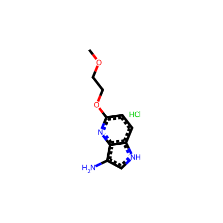 COCCOc1ccc2[nH]cc(N)c2n1.Cl